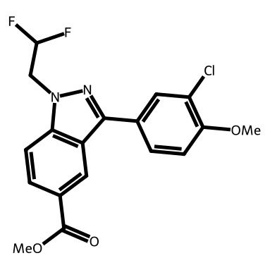 COC(=O)c1ccc2c(c1)c(-c1ccc(OC)c(Cl)c1)nn2CC(F)F